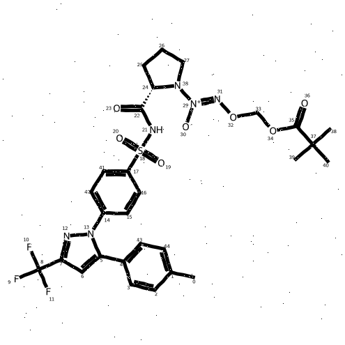 Cc1ccc(-c2cc(C(F)(F)F)nn2-c2ccc(S(=O)(=O)NC(=O)[C@@H]3CCCN3/[N+]([O-])=N/OCOC(=O)C(C)(C)C)cc2)cc1